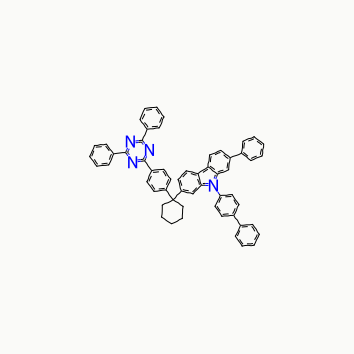 c1ccc(-c2ccc(-n3c4cc(-c5ccccc5)ccc4c4ccc(C5(c6ccc(-c7nc(-c8ccccc8)nc(-c8ccccc8)n7)cc6)CCCCC5)cc43)cc2)cc1